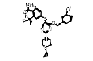 NC(=O)c1ccc(Sc2cnc(N3CCN(C4CC4)CC3)nc2OCc2cccc(Cl)c2)cc1C(F)(F)F